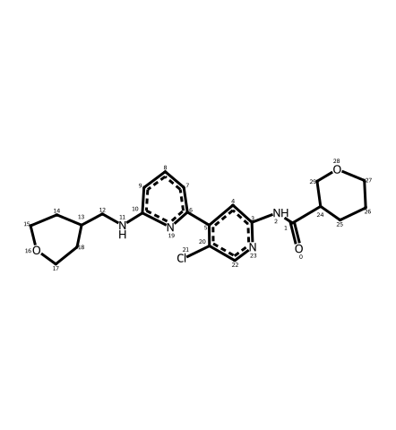 O=C(Nc1cc(-c2cccc(NCC3CCOCC3)n2)c(Cl)cn1)C1CCCOC1